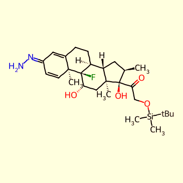 C[C@@H]1C[C@H]2[C@@H]3CCC4=C/C(=N/N)C=C[C@]4(C)[C@@]3(F)[C@@H](O)C[C@]2(C)[C@@]1(O)C(=O)CO[Si](C)(C)C(C)(C)C